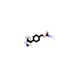 Cc1ncsc1C1CCC(COC(N)=O)CC1